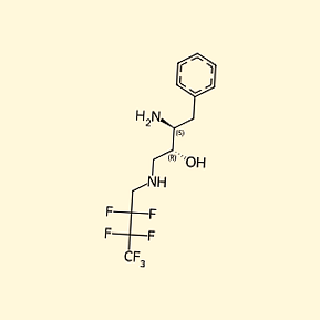 N[C@@H](Cc1ccccc1)[C@H](O)CNCC(F)(F)C(F)(F)C(F)(F)F